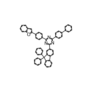 c1ccc(-c2ccc(-c3nc(-c4ccc(-c5cc6ccccc6o5)cc4)nc(-c4ccc5c(c4)C(c4ccccc4)(c4ccccc4)c4ccccc4-5)n3)cc2)cc1